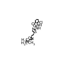 C[Si](C)(C)c1cnc(C=Cc2cnc(NC(=O)Nc3c(Cl)cccc3Cl)s2)o1